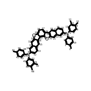 Cc1ccc(N(c2ccc(C)c(C)c2)c2ccc3cc4c(cc3c2)oc2c4ccc3oc4cc5cc(N(c6ccc(C)cc6)c6ccc(C)c(C)c6)ccc5cc4c32)cc1